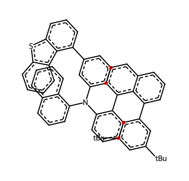 CC(C)(C)c1cc(-c2cccc3cccc(-c4ccccc4N(c4cccc(-c5cccc6sc7ccccc7c56)c4)c4cccc5ccccc45)c23)cc(C(C)(C)C)c1